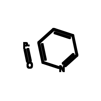 O=[P].c1ccncc1